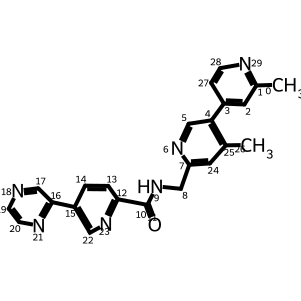 Cc1cc(-c2cnc(CNC(=O)c3ccc(-c4cnccn4)cn3)cc2C)ccn1